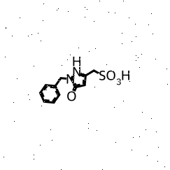 O=c1cc(CS(=O)(=O)O)[nH]n1Cc1ccccc1